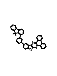 CC1(C)c2ccccc2-c2cccc(-c3cccc(-c4ccc5oc6nc7c8ccccc8c8ccccc8c7nc6c5c4)c3)c21